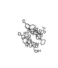 CC(C)C(=O)OCC(=O)[C@@]12O[C@H](C3CCCCC3)O[C@@H]1C[C@H]1[C@@H]3CCC4=CC(=O)C=C[C@]4(C)[C@H]3[C@@H](O)C[C@@]12C.C[C@]12C=CC(=O)C=C1CC[C@@H]1[C@@H]2C(=O)C[C@@]2(C)[C@H]1CC[C@]2(O)C(=O)CO